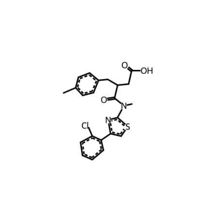 Cc1ccc(CC(CC(=O)O)C(=O)N(C)c2nc(-c3ccccc3Cl)cs2)cc1